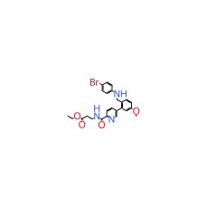 CCOC(=O)CCNC(=O)c1ccc(-c2cc(OC)ccc2CNc2ccc(Br)cc2)cn1